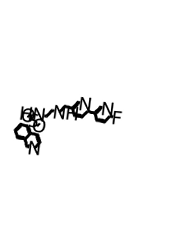 O=S(=O)(NCCNCc1ccc(-c2ccc(F)nc2)nc1)c1cccc2cnccc12